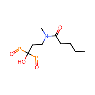 CCCCC(=O)N(C)CCC(O)(P=O)P=O